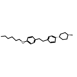 CCCCCCOc1ccc(CCc2ccc([C@H]3CC[C@H](C)CC3)cc2)cc1